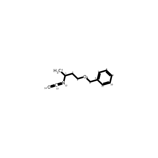 CC(CCOCc1ccccc1)N=C=O